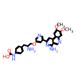 COc1cc2ncc3c(N)nc(-c4cncc(OC[C@@H](N)Cc5ccc(NC(=O)O)cc5)c4)cc3c2cc1OC